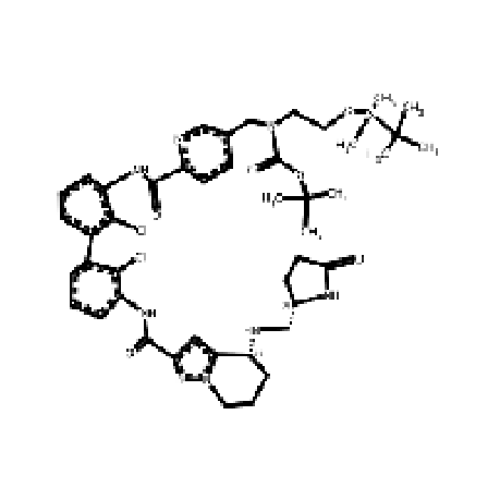 CC(C)(C)OC(=O)N(CCO[Si](C)(C)C(C)(C)C)Cc1ccc(C(=O)Nc2cccc(-c3cccc(NC(=O)c4cc5n(n4)CCC[C@H]5NC[C@@H]4CCC(=O)N4)c3Cl)c2Cl)nc1